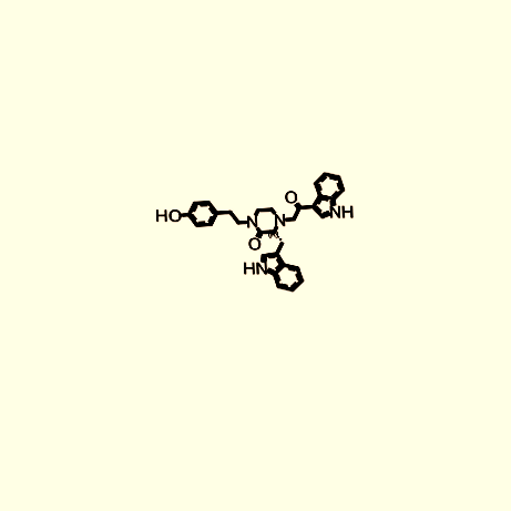 O=C(CN1CCN(CCc2ccc(O)cc2)C(=O)[C@H]1Cc1c[nH]c2ccccc12)c1c[nH]c2ccccc12